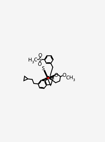 COC1CCC2(CC1)Cc1ccc(CCC3CC3)cc1C21NC(=S)N(Cc2cccc(S(C)(=O)=O)c2)C1=O